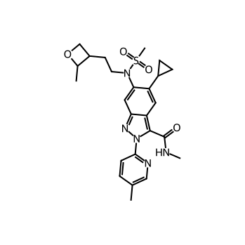 CNC(=O)c1c2cc(C3CC3)c(N(CCC3COC3C)S(C)(=O)=O)cc2nn1-c1ccc(C)cn1